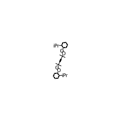 CC(C)c1ccccc1OOC(C)(C)C#CC(C)(C)OOc1ccccc1C(C)C